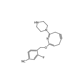 N#CC1=C=C=C(COC2=C/CC#CC/C(N3CCNCC3)=N\2)C(F)=C1